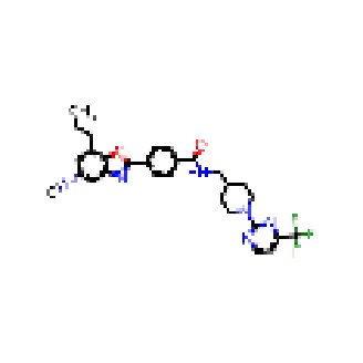 [C-]#[N+]c1cc(CCC)c2oc(-c3ccc(C(=O)NCC4CCN(c5nccc(C(F)(F)F)n5)CC4)cc3)nc2c1